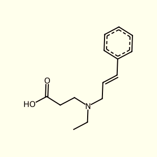 CCN(C/C=C/c1ccccc1)CCC(=O)O